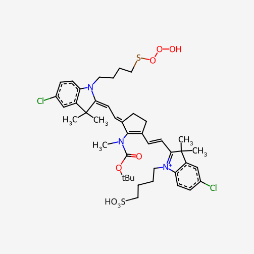 CN(C(=O)OC(C)(C)C)C1=C(/C=C/C2=[N+](CCCCS(=O)(=O)O)c3ccc(Cl)cc3C2(C)C)CC/C1=C\C=C1\N(CCCCSOOO)c2ccc(Cl)cc2C1(C)C